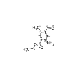 CCOC(=O)c1cc(C)c(C=O)cc1N